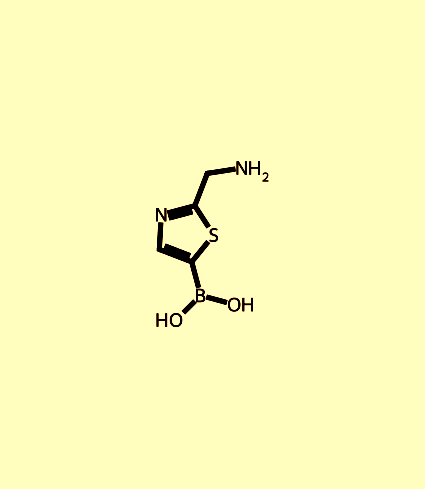 NCc1ncc(B(O)O)s1